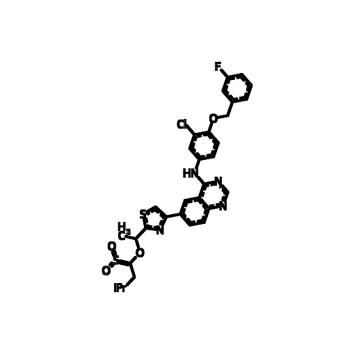 CC(C)CC(OC(C)c1nc(-c2ccc3ncnc(Nc4ccc(OCc5cccc(F)c5)c(Cl)c4)c3c2)cs1)=S(=O)=O